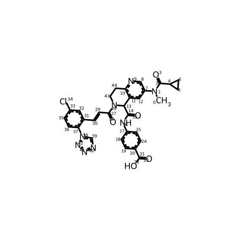 CN(C(=O)C1CC1)c1cnc2c(c1)C(C(=O)Nc1ccc(C(=O)O)cc1)N(C(=O)/C=C/c1cc(Cl)ccc1-n1cnnn1)CC2